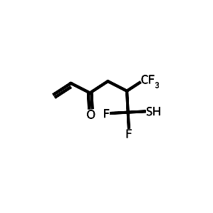 C=CC(=O)CC(C(F)(F)F)C(F)(F)S